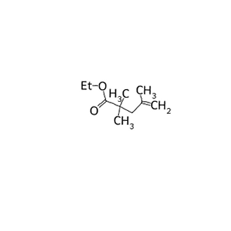 C=C(C)CC(C)(C)C(=O)OCC